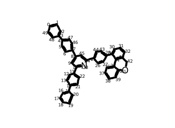 c1ccc(-c2ccc(-c3cc(-c4ccc(-c5ccccc5)cc4)nc(-c4ccc(-c5cccc6c5-c5ccccc5OC6)cc4)c3)cc2)cc1